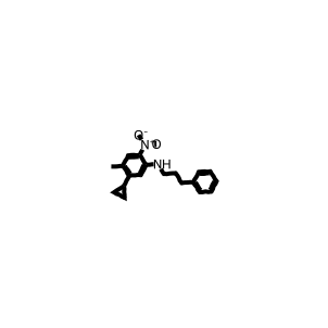 Cc1cc([N+](=O)[O-])c(NCCCc2ccccc2)cc1C1CC1